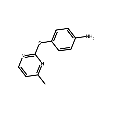 Cc1ccnc(Sc2ccc(N)cc2)n1